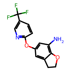 Nc1cc(Oc2ccc(C(F)(F)F)cn2)cc2c1OCC2